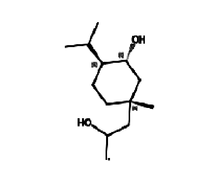 [CH2]C(O)C[C@]1(C)CC[C@@H](C(C)C)[C@H](O)C1